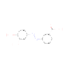 O=C(O)c1cccc(N=Nc2ccc(O)c(O)c2)c1